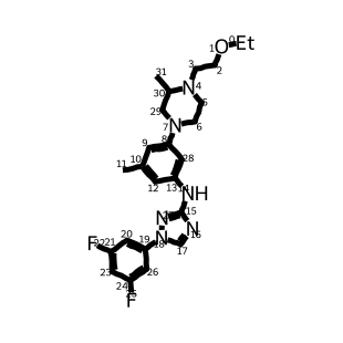 CCOCCN1CCN(c2cc(C)cc(Nc3ncn(-c4cc(F)cc(F)c4)n3)c2)CC1C